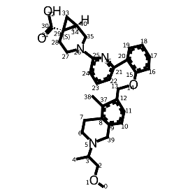 COCC(C)N1CCc2c(ccc(COc3ccccc3-c3cccc(N4CC[C@@]5(C(=O)O)C[C@H]5C4)n3)c2C)C1